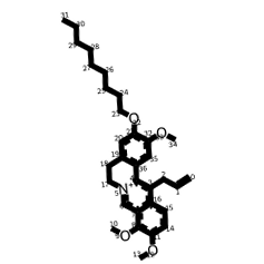 C=CCc1c2[n+](cc3c(OC)c(OC)ccc13)CCc1cc(OCCCCCCCCC)c(OC)cc1-2